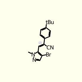 Cn1ncc(Br)c1/C=C(\C#N)c1ccc(C(C)(C)C)cc1